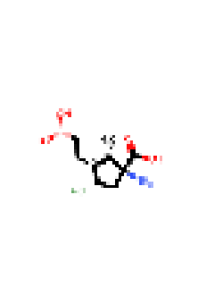 C[C@H]1[C@H](CCB(O)O)CCC1(N)C(=O)O.Cl